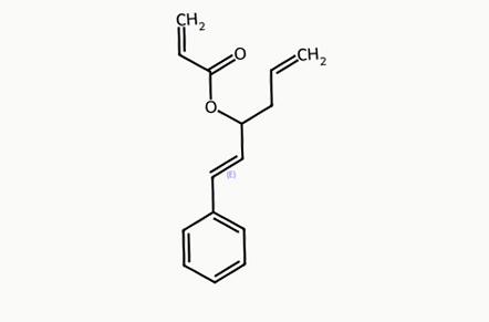 C=CCC(/C=C/c1ccccc1)OC(=O)C=C